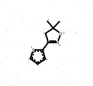 CC1(C)CC(c2cccs2)=NO1